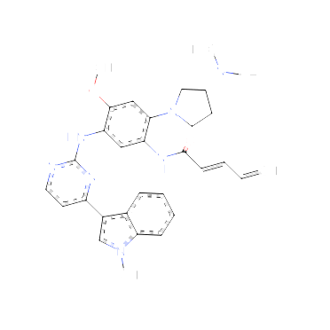 C=C/C=C/C(=O)Nc1cc(Nc2nccc(-c3cn(C)c4ccccc34)n2)c(OC)cc1N1CC[C@@H](N(C)C)C1